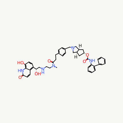 CN(CCNC[C@H](O)c1ccc(O)c2[nH]c(=O)ccc12)C(=O)CCc1ccc(CN2C[C@H]3C[C@H](OC(=O)Nc4ccccc4-c4ccccc4)C[C@H]3C2)cc1